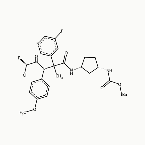 CC(C)(C)OC(=O)N[C@H]1CC[C@@H](NC(=O)C(C)(c2cncc(F)c2)N(C(=O)[C@H](F)Cl)c2ccc(OC(F)(F)F)cc2)C1